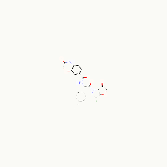 C[C@H]1CC[C@H](C(NC(=O)c2ccc3c(c2)OCC(=O)N3)C(=O)N2C[C@H](Cl)[C@H]3OCC(=O)[C@H]32)CC1